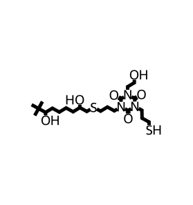 CC(C)(C)C(O)CCCCC(O)CSCCCn1c(=O)n(CCO)c(=O)n(CCCS)c1=O